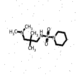 CN(C)CC(C)(C)CNS(=O)(=O)N1CC[CH]CC1